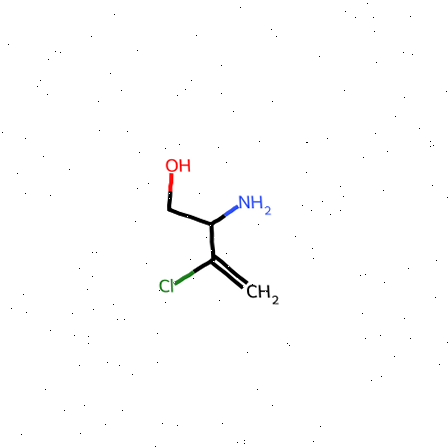 C=C(Cl)C(N)CO